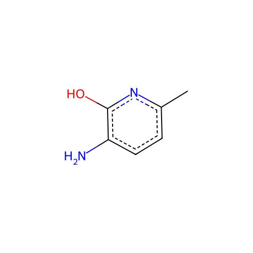 Cc1ccc(N)c(O)n1